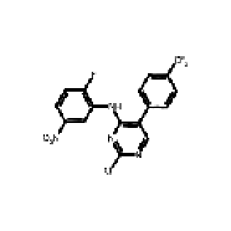 O=[N+]([O-])c1ccc(F)c(Nc2nc(Cl)ncc2-c2ccc(C(F)(F)F)cc2)c1